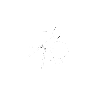 C=C1C(=O)O[C@@]23[C@H]1CC[C@@H](C)[C@@H]2CC[C@@]1(C)O[C@@H]31